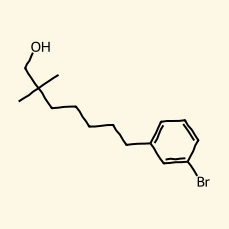 CC(C)(CO)CCCCCc1cccc(Br)c1